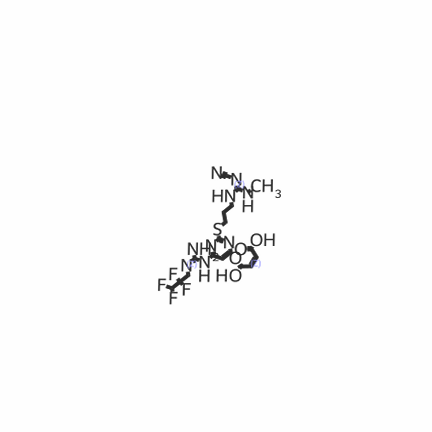 CN/C(=N/C#N)NCCCSc1nccc(N/C(N)=N\CC(F)(F)C(F)F)n1.O=C(O)/C=C\C(=O)O